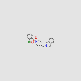 O=S(=O)(c1ccccc1Br)N1CCC(CN2CCc3ccccc3C2)CC1